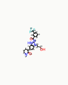 CN1CCC[C@@H](c2ccc3c(c2)[nH]/c(=N\C(=O)c2cccc(C(F)(F)F)c2)n3CCCO)C1=O